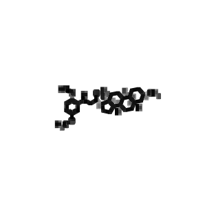 COc1ccc(N=N)c(NCC(=O)[C@H]2CCC3[C@@H]4CC[C@@H]5C[C@@H](C)CC[C@]5(F)C4CC[C@@]32C)c1